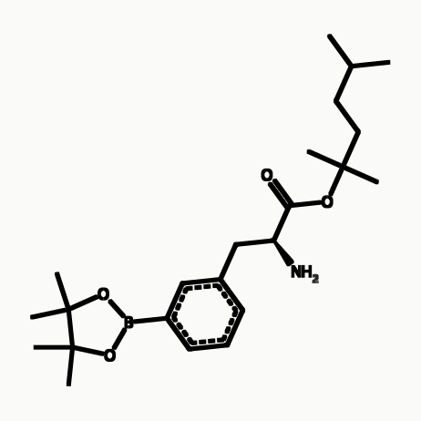 CC(C)CCC(C)(C)OC(=O)[C@@H](N)Cc1cccc(B2OC(C)(C)C(C)(C)O2)c1